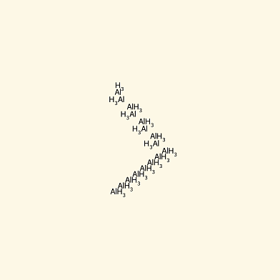 [AlH3].[AlH3].[AlH3].[AlH3].[AlH3].[AlH3].[AlH3].[AlH3].[AlH3].[AlH3].[AlH3].[AlH3].[AlH3].[AlH3].[AlH3].[AlH3]